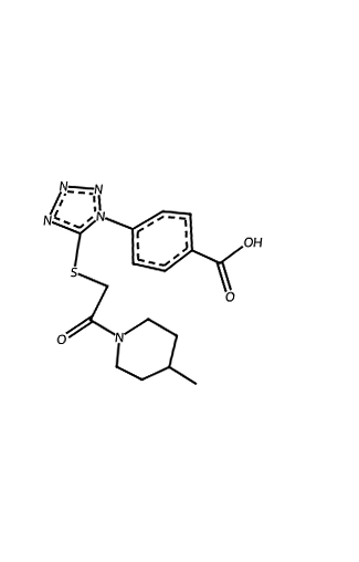 CC1CCN(C(=O)CSc2nnnn2-c2ccc(C(=O)O)cc2)CC1